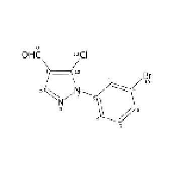 O=Cc1cnn(-c2cccc(Br)c2)c1Cl